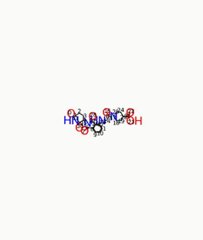 O=C1CCC(N2C(=O)c3cccc(NCC(=O)N4CCC(C(=O)O)CC4)c3C2=O)C(=O)N1